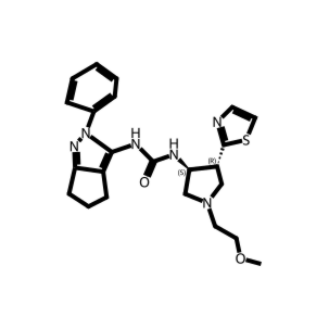 COCCN1C[C@@H](NC(=O)Nc2c3c(nn2-c2ccccc2)CCC3)[C@H](c2nccs2)C1